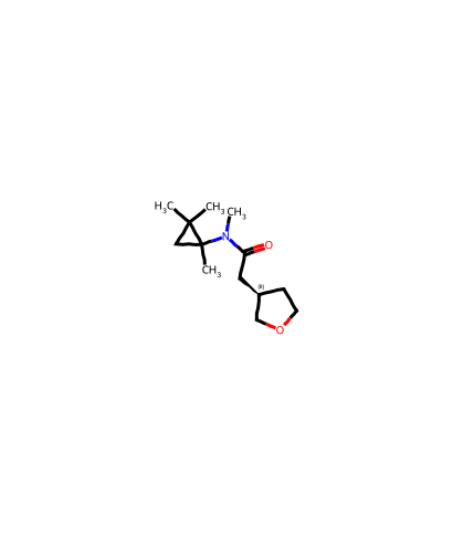 CN(C(=O)C[C@H]1CCOC1)C1(C)CC1(C)C